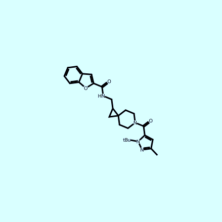 Cc1cc(C(=O)N2CCC3(CC2)CC3CNC(=O)c2cc3ccccc3o2)n(C(C)(C)C)n1